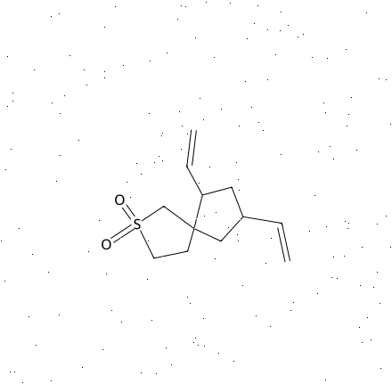 C=CC1CC(C=C)C2(CCS(=O)(=O)C2)C1